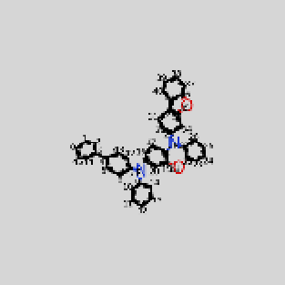 c1ccc(-c2ccc(N(c3ccccc3)c3ccc4c(c3)Oc3ccccc3N4c3ccc4c(c3)oc3ccccc34)cc2)cc1